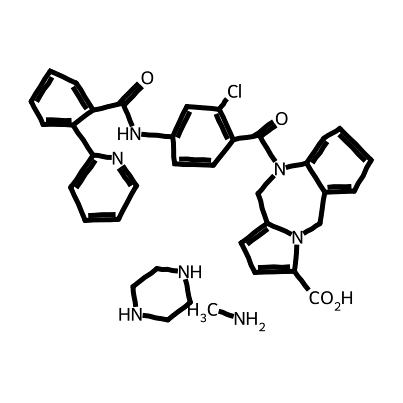 C1CNCCN1.CN.O=C(Nc1ccc(C(=O)N2Cc3ccc(C(=O)O)n3Cc3ccccc32)c(Cl)c1)c1ccccc1-c1ccccn1